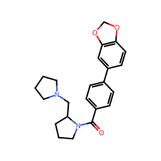 O=C(c1ccc(-c2ccc3c(c2)OCO3)cc1)N1CCCC1CN1CCCC1